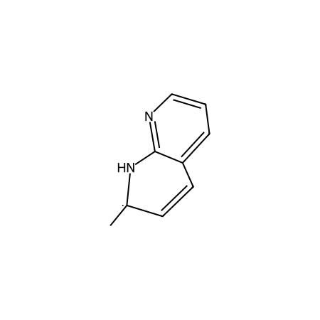 C[C]1C=Cc2cccnc2N1